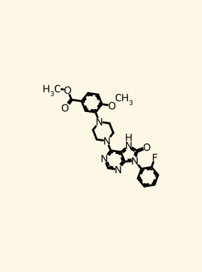 COC(=O)c1ccc(OC)c(N2CCN(c3ncnc4c3[nH]c(=O)n4-c3ccccc3F)CC2)c1